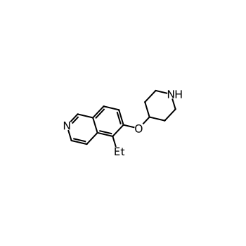 CCc1c(OC2CCNCC2)ccc2cnccc12